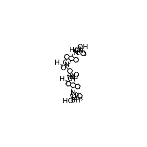 CN(Cc1ccccc1OBO)Cc1c2ccccc2c(CN(C)C(=O)c2ccc(C(=O)N(C)Cc3c4ccccc4c(CN(C)Cc4ccccc4B(O)O)c4ccccc34)cc2C(C)(C)C)c2ccccc12